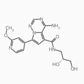 COc1cc(-c2cc(C(=O)NC[C@@H](O)CO)c3c(N)ncnn23)ccn1